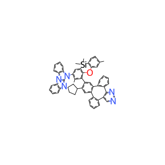 Cc1ccc2c(c1)Oc1c(cc(-n3c4ccccc4n4c5ccccc5nc34)c(C)c1-c1cc3c(cc1C1CCCC1)-c1ccccc1-c1cncnc1-c1ccccc1-3)[Si]2(C)C